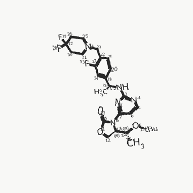 C[C@H](Nc1nccc(N2C(=O)OC[C@@H]2[C@@H](C)OC(C)(C)C)n1)c1ccc(CN2CCC(F)(F)CC2)c(F)c1